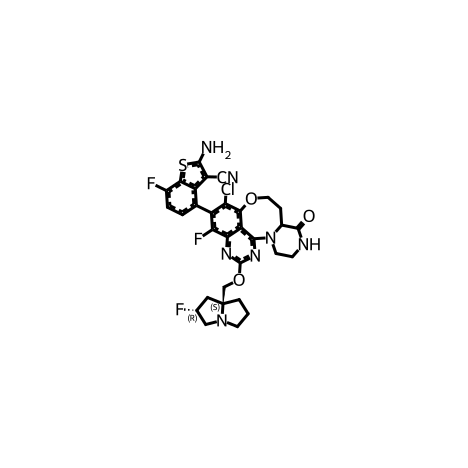 N#Cc1c(N)sc2c(F)ccc(-c3c(Cl)c4c5c(nc(OC[C@@]67CCCN6C[C@H](F)C7)nc5c3F)N3CCNC(=O)C3CCO4)c12